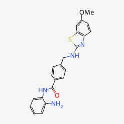 COc1ccc2nc(NCc3ccc(C(=O)Nc4ccccc4N)cc3)sc2c1